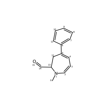 CN1C=CC=C(c2ccccc2)CC1C=O